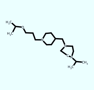 CC(C)OCCCN1CCC(CN2CCN(C(C)C)CC2)CC1